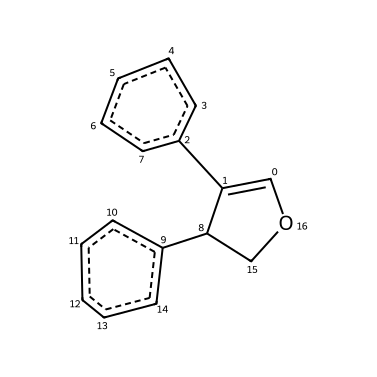 C1=C(c2ccccc2)C(c2ccccc2)CO1